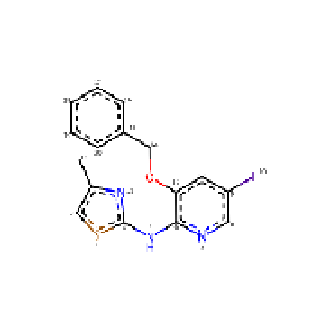 Cc1csc(Nc2ncc(I)cc2OCc2ccccc2)n1